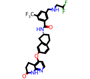 O=C1CCc2c(Oc3ccc4c(c3)C[C@H](NC(=O)c3cc(CNCC(F)F)cc(C(F)(F)F)c3)CC4)ccnc2N1